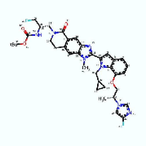 C[C@H](COc1cccc2cc(-c3nc4cc5c(cc4n3C)CCN(C[C@@H](CF)NC(=O)OC(C)(C)C)C5=O)n(CC3CC3)c12)n1cnc(F)c1